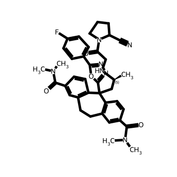 C[C@@H](CC1(c2nnc(-c3ccc(F)cc3)o2)c2ccc(C(=O)N(C)C)cc2CCc2cc(C(=O)N(C)C)ccc21)NCC(=O)N1CCCC1C#N